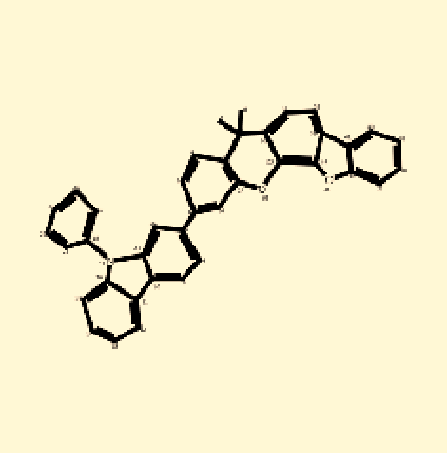 CC1(C)c2ccc(-c3ccc4c5ccccc5n(-c5ccccc5)c4c3)cc2Oc2c1ccc1c2oc2ccccc21